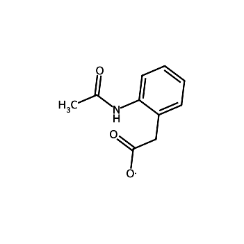 CC(=O)Nc1ccccc1CC([O])=O